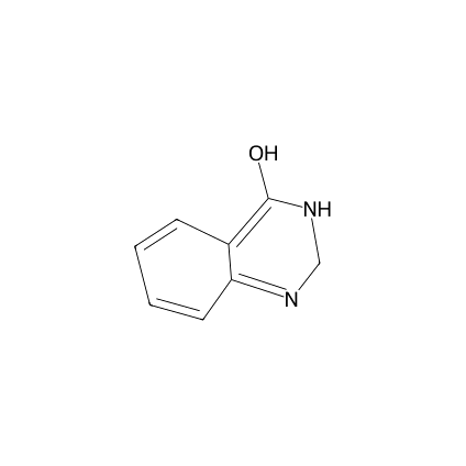 OC1=c2ccccc2=NCN1